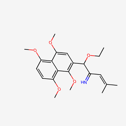 CCOC(C(=N)C=C(C)C)c1cc(OC)c2c(OC)ccc(OC)c2c1OC